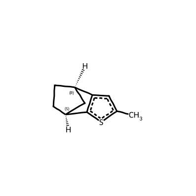 Cc1cc2c(s1)[C@H]1CC[C@@H]2C1